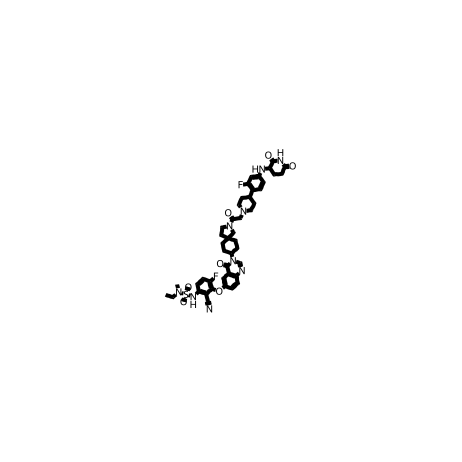 CCN(C)S(=O)(=O)Nc1ccc(F)c(Oc2ccc3ncn(C4CCC5(CC4)CCN(C(=O)CN4CCC(c6ccc(NC7CCC(=O)NC7=O)cc6F)CC4)C5)c(=O)c3c2)c1C#N